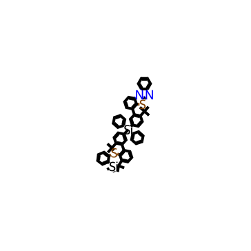 CC(C)(C)c1ccc([Si](c2ccccc2)(c2ccccc2)c2ccc(C(C)(C)C)c(-c3cccc4c3sc3nc5ccccc5n34)c2)cc1-c1cccc2c1Sc1ccccc1[Si](C)(C)C2(C)C